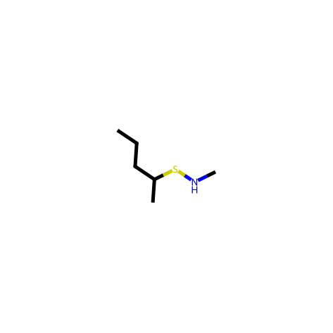 CCCC(C)SNC